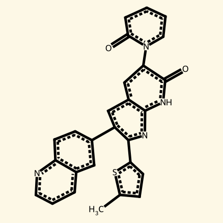 Cc1ccc(-c2nc3[nH]c(=O)c(-n4ccccc4=O)cc3cc2-c2ccc3ncccc3c2)s1